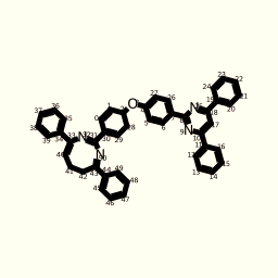 C1=CC(Oc2ccc(-c3nc(-c4ccccc4)cc(-c4ccccc4)n3)cc2)CC=C1C1=N/C(c2ccccc2)=C\CC/C(c2ccccc2)=N\1